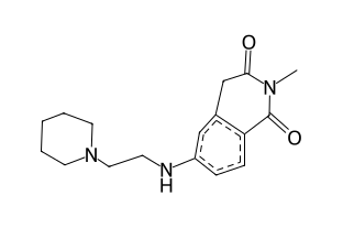 CN1C(=O)Cc2cc(NCCN3CCCCC3)ccc2C1=O